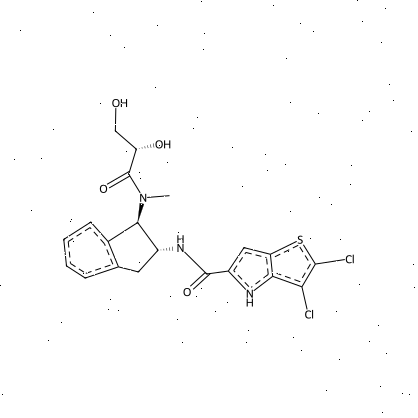 CN(C(=O)[C@@H](O)CO)[C@@H]1c2ccccc2C[C@H]1NC(=O)c1cc2sc(Cl)c(Cl)c2[nH]1